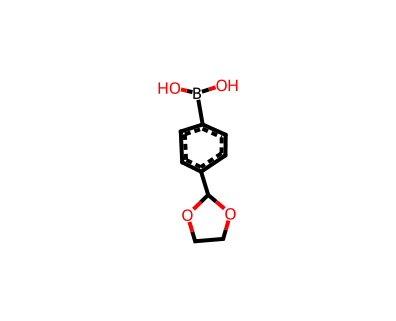 OB(O)c1ccc(C2OCCO2)cc1